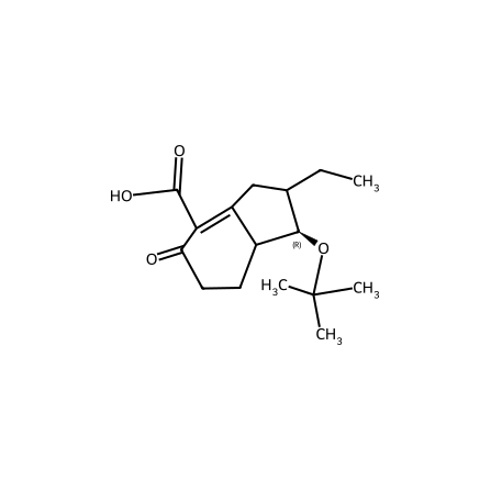 CCC1CC2=C(C(=O)O)C(=O)CCC2[C@@H]1OC(C)(C)C